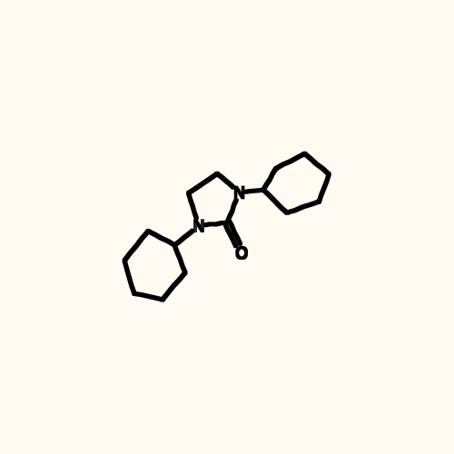 O=C1N(C2CCCCC2)CCN1C1CCCCC1